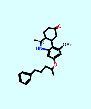 CC(=O)Oc1cc(OC(C)CCCc2ccccc2)cc2c1C1CC(=O)CCC1[C@H](C)N2